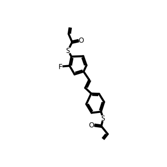 C=CC(=O)Sc1ccc(/C=C/c2ccc(SC(=O)C=C)c(F)c2)cc1